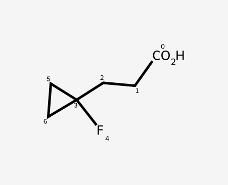 O=C(O)CCC1(F)CC1